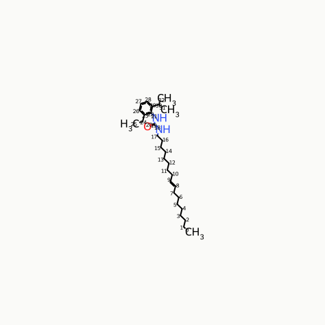 CCCCCCCCC=CCCCCCCCCNC(=O)Nc1c(CC)cccc1C(C)C